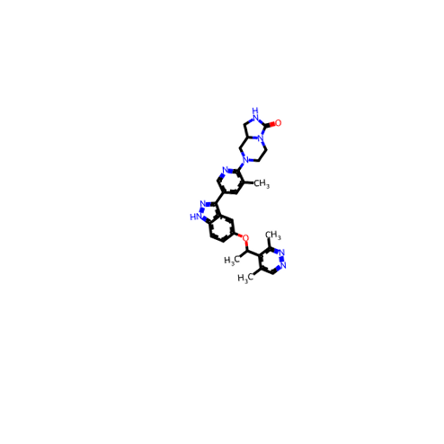 Cc1cc(-c2n[nH]c3ccc(OC(C)c4c(C)cnnc4C)cc23)cnc1N1CCN2C(=O)NCC2C1